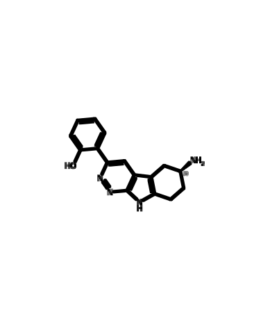 N[C@H]1CCc2[nH]c3nnc(-c4ccccc4O)cc3c2C1